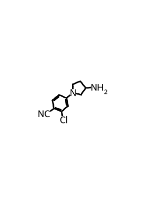 N#Cc1ccc(N2CCC(N)C2)cc1Cl